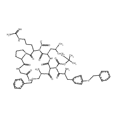 CC(C)CC(NC(=O)C(C(=O)C(N)COCc1ccccc1)N(C(=O)OC(C)(C)C)C(=O)C(N)Cc1ccc(OCc2ccccc2)cc1)C(=O)N(C(CCCNC(=N)N)C(=O)N1CCCC1C(=O)NCC(=O)O)[N+](=O)[O-]